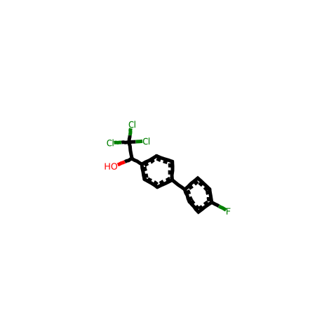 OC(c1ccc(-c2ccc(F)cc2)cc1)C(Cl)(Cl)Cl